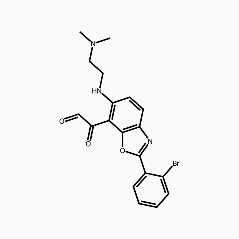 CN(C)CCNc1ccc2nc(-c3ccccc3Br)oc2c1C(=O)C=O